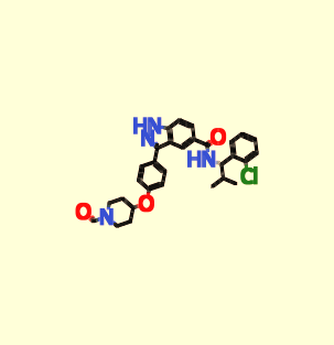 CC(C)[C@H](NC(=O)c1ccc2[nH]nc(-c3ccc(OC4CCN(C=O)CC4)cc3)c2c1)c1ccccc1Cl